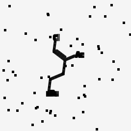 CCCCCCC(=CCl)C(C)=O